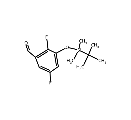 CC(C)(C)[Si](C)(C)Oc1cc(F)cc(C=O)c1F